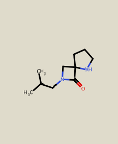 CC(C)CN1CC2(CCCN2)C1=O